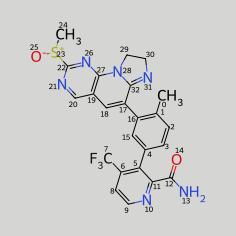 Cc1ccc(-c2c(C(F)(F)F)ccnc2C(N)=O)cc1C1=Cc2cnc([S+](C)[O-])nc2N2CCN=C12